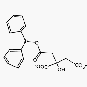 O=C(O)CC(O)(CC(=O)O[I+](c1ccccc1)c1ccccc1)C(=O)[O-]